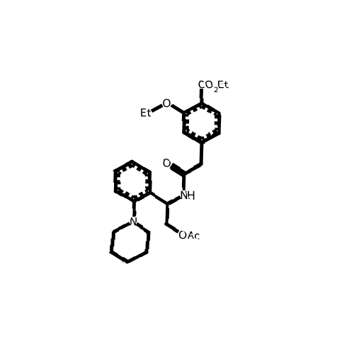 CCOC(=O)c1ccc(CC(=O)NC(COC(C)=O)c2ccccc2N2CCCCC2)cc1OCC